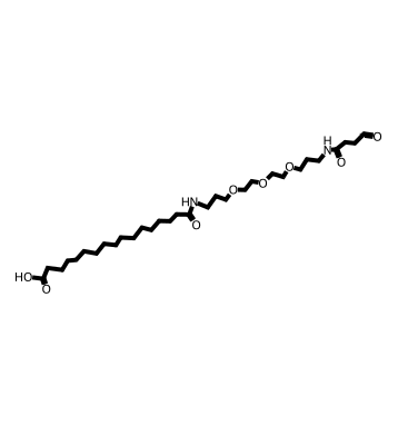 O=[C]CCC(=O)NCCCOCCOCCOCCCNC(=O)CCCCCCCCCCCCCCCC(=O)O